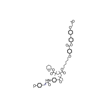 CCC(C)(CC(C)(CC(C)(C)C(=O)OC1CCCCO1)C(=O)OCCCCCCOc1ccc(C(=O)Oc2ccc(-c3ccc(OCC4CO4)cc3)cc2)cc1)C(=O)c1ccc(NC(=O)/C=C/c2ccc(OC)cc2)cc1